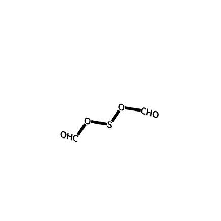 O=COSOC=O